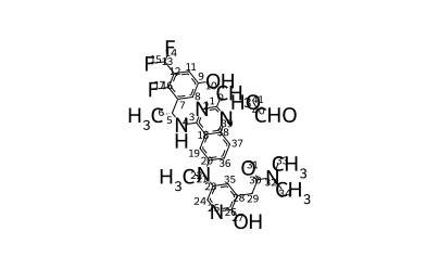 Cc1nc(N[C@H](C)c2cc(O)cc(C(F)F)c2F)c2cc(N(C)c3cnc(O)c(CC(=O)N(C)C)c3)ccc2n1.O=CO